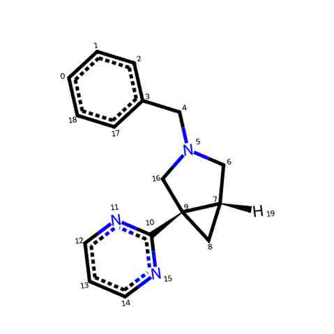 c1ccc(CN2C[C@@H]3C[C@]3(c3ncccn3)C2)cc1